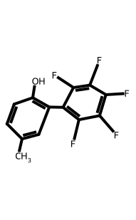 Cc1ccc(O)c(-c2c(F)c(F)c(F)c(F)c2F)c1